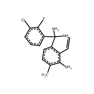 Cc1ccc2c(c1N)C=CNC2(N)c1cccc(Cl)c1F